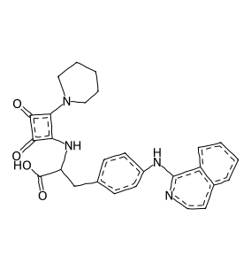 O=C(O)C(Cc1ccc(Nc2nccc3ccccc23)cc1)Nc1c(N2CCCCC2)c(=O)c1=O